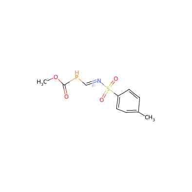 COC(=O)P/C=N/S(=O)(=O)c1ccc(C)cc1